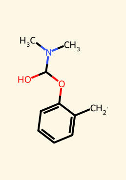 [CH2]c1ccccc1OC(O)N(C)C